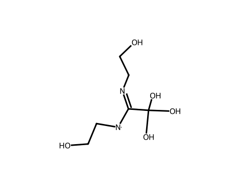 OCC[N]C(=NCCO)C(O)(O)O